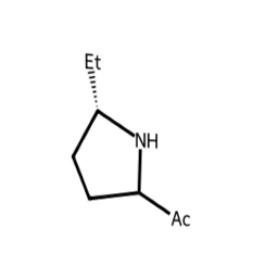 CC[C@H]1CCC(C(C)=O)N1